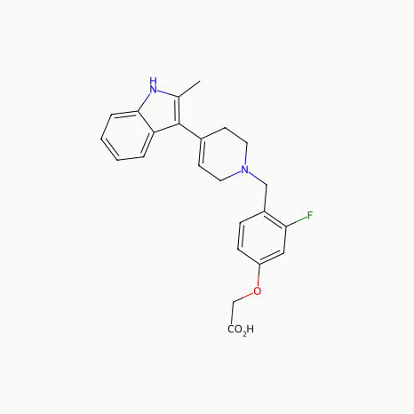 Cc1[nH]c2ccccc2c1C1=CCN(Cc2ccc(OCC(=O)O)cc2F)CC1